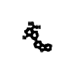 OB(O)c1ccc(Br)c2cc(-c3ccc4oc5ccccc5c4c3)ccc12